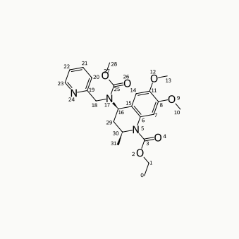 CCOC(=O)N1c2cc(OC)c(OC)cc2[C@H](N(Cc2ccccn2)C(=O)OC)C[C@@H]1C